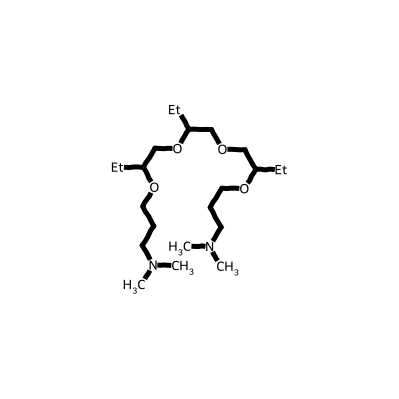 CCC(COCC(CC)OCC(CC)OCCCN(C)C)OCCCN(C)C